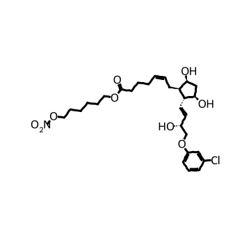 O=C(CCC/C=C\C[C@@H]1[C@@H](/C=C/[C@@H](O)COc2cccc(Cl)c2)[C@H](O)C[C@@H]1O)OCCCCCCO[N+](=O)[O-]